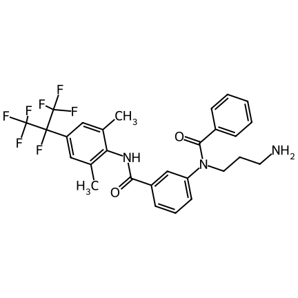 Cc1cc(C(F)(C(F)(F)F)C(F)(F)F)cc(C)c1NC(=O)c1cccc(N(CCCN)C(=O)c2ccccc2)c1